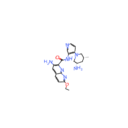 CCOc1ccc2cc(N)c(C(=O)Nc3cnccc3N3C[C@H](C)C[C@H](N)C3)nc2n1